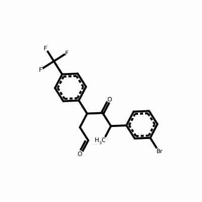 CC(C(=O)C(CC=O)c1ccc(C(F)(F)F)cc1)c1cccc(Br)c1